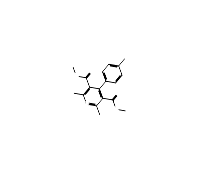 COC(=O)c1c(C)nc(C)c(C(=O)OC)c1-c1ccc(C)cc1